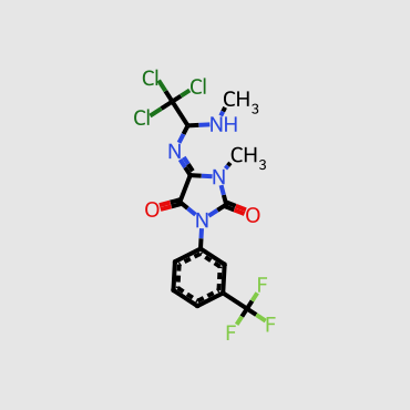 CNC(N=C1C(=O)N(c2cccc(C(F)(F)F)c2)C(=O)N1C)C(Cl)(Cl)Cl